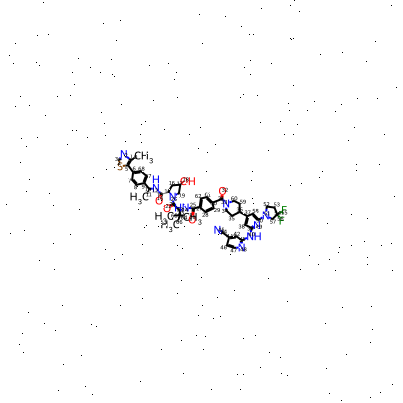 Cc1ncsc1-c1ccc([C@H](C)NC(=O)[C@@H]2C[C@@H](O)CN2C(=O)[C@@H](NC(=O)c2ccc(C(=O)N3CCC(c4cc(Nc5cc(C#N)ccn5)nc(N5CCC(F)(F)C5)c4)CC3)cc2)C(C)(C)C)cc1